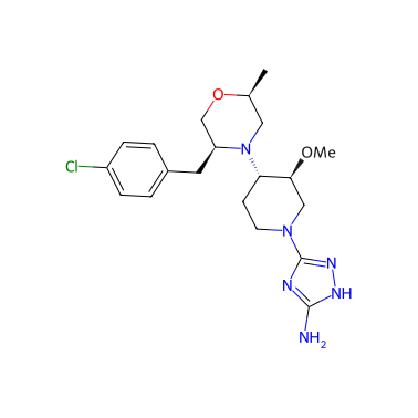 CO[C@H]1CN(c2n[nH]c(N)n2)CC[C@@H]1N1C[C@H](C)OC[C@@H]1Cc1ccc(Cl)cc1